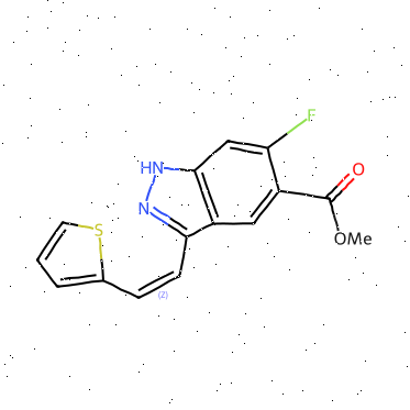 COC(=O)c1cc2c(/C=C\c3cccs3)n[nH]c2cc1F